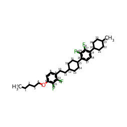 CCCCCOc1ccc(CCC2CCC(c3ccc(C4CCC(C)CC4)c(F)c3F)CC2)c(F)c1F